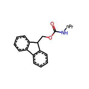 [CH2]CCNC(=O)OCC1c2ccccc2-c2ccccc21